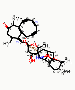 CNC1C(=O)CC(C)/C(=C/CSSC2(C)CC3CC(C)CC(C3)C2)C2=C1C#C/C=C\C#C[C@@H]2OC1CC(O)[C@H](NOC2CC[C@H](SC)C(C)O2)C(C)O1